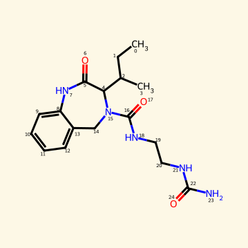 CCC(C)C1C(=O)Nc2ccccc2CN1C(=O)NCCNC(N)=O